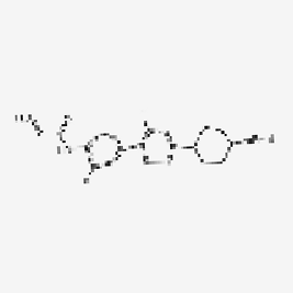 C=CC(=O)Nc1ccc(-c2ccc(C3CCC(CCCCC)CC3)cc2F)cc1F